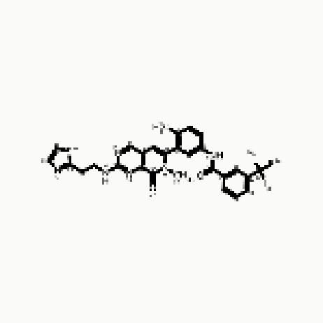 Cc1ccc(NC(=O)c2cccc(C(F)(F)F)c2)cc1-c1cc2cnc(NCCc3nccs3)nc2c(=O)n1C